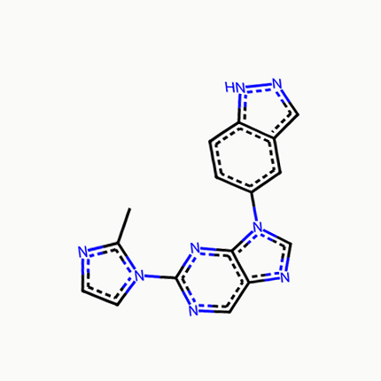 Cc1nccn1-c1ncc2ncn(-c3ccc4[nH]ncc4c3)c2n1